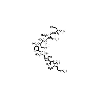 CC(C)C[C@H](N)C(=O)O.CC(C)[C@H](N)C(=O)O.CC[C@H](C)[C@H](N)C(=O)O.C[C@@H](O)[C@H](N)C(=O)O.N[C@@H](CC(=O)O)C(=O)O.N[C@@H](CCC(=O)O)C(=O)O.N[C@@H](CO)C(=O)O.O=C(O)[C@@H]1CCCN1